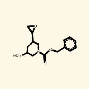 O=C(O)C1CC(C2CO2)CN(C(=O)OCc2ccccc2)C1